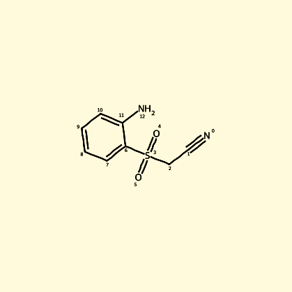 N#CCS(=O)(=O)c1ccccc1N